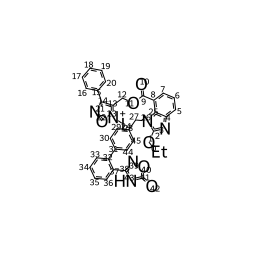 CCOc1nc2cccc(C(=O)OCc3c(-c4ccccc4)no[n+]3I)c2n1Cc1ccc(-c2ccccc2-c2noc(=O)[nH]2)cc1